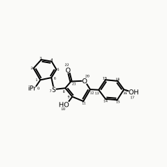 CC(C)c1ccccc1Sc1c(O)cc(-c2ccc(O)cc2)oc1=O